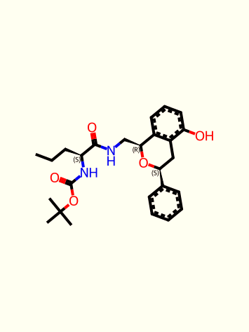 CCC[C@H](NC(=O)OC(C)(C)C)C(=O)NC[C@@H]1O[C@H](c2ccccc2)Cc2c(O)cccc21